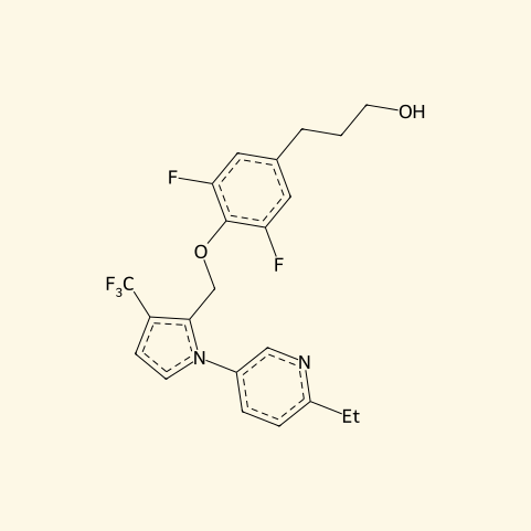 CCc1ccc(-n2ccc(C(F)(F)F)c2COc2c(F)cc(CCCO)cc2F)cn1